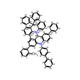 Cc1ccccc1-c1cc2c3c(c1)N(c1ccc(-c4ccccc4)cc1)c1ccc(-c4ccccc4)cc1B3N1c3ccccc3C(c3ccccc3)(c3ccccc3)c3cccc-2c31